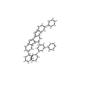 c1ccc(-c2cc(-c3ccccc3)cc(-c3cc4c5cc(-c6ccccc6)ccc5oc4c4oc5ccc(-c6ccccc6)cc5c34)c2)cc1